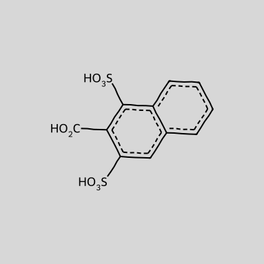 O=C(O)c1c(S(=O)(=O)O)cc2ccccc2c1S(=O)(=O)O